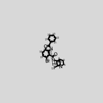 O=C(NC1C2CCN(CC2)C1I)c1c(Br)ccc2oc(-c3ccccc3)nc12